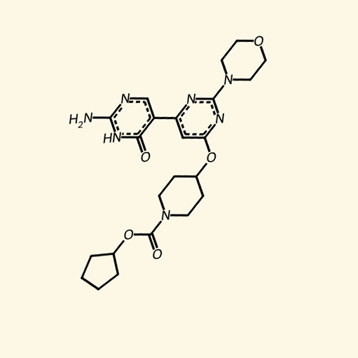 Nc1ncc(-c2cc(OC3CCN(C(=O)OC4CCCC4)CC3)nc(N3CCOCC3)n2)c(=O)[nH]1